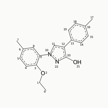 CCOc1ccc(C)cc1-n1cc(-c2ccc(C)cc2)c(O)n1